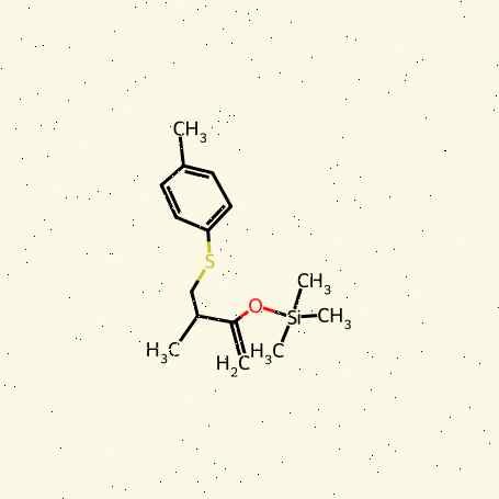 C=C(O[Si](C)(C)C)C(C)CSc1ccc(C)cc1